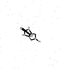 CC(=O)N1C[C@]23NC(=O)N[C@@]2(C1)NC(=O)N3